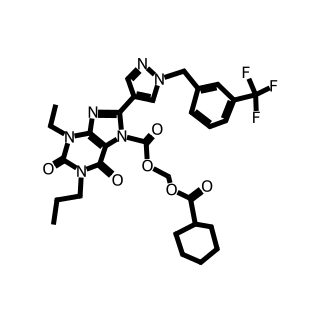 CCCn1c(=O)c2c(nc(-c3cnn(Cc4cccc(C(F)(F)F)c4)c3)n2C(=O)OCOC(=O)C2CCCCC2)n(CC)c1=O